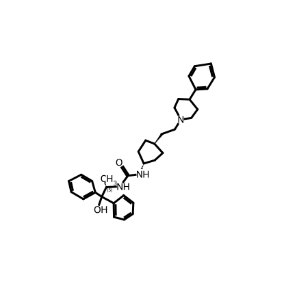 C[C@H](NC(=O)N[C@H]1CC[C@H](CCN2CCC(c3ccccc3)CC2)CC1)C(O)(c1ccccc1)c1ccccc1